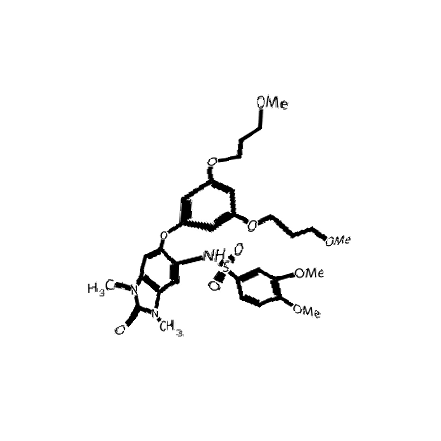 COCCCOc1cc(OCCCOC)cc(Oc2cc3c(cc2NS(=O)(=O)c2ccc(OC)c(OC)c2)n(C)c(=O)n3C)c1